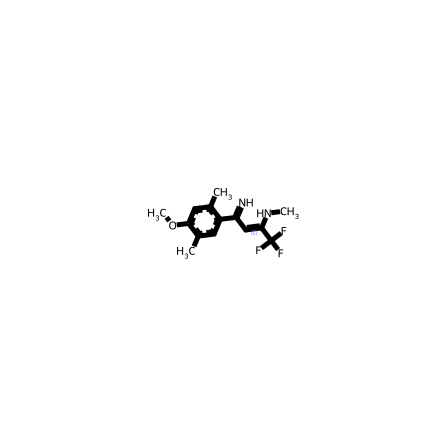 CN/C(=C\C(=N)c1cc(C)c(OC)cc1C)C(F)(F)F